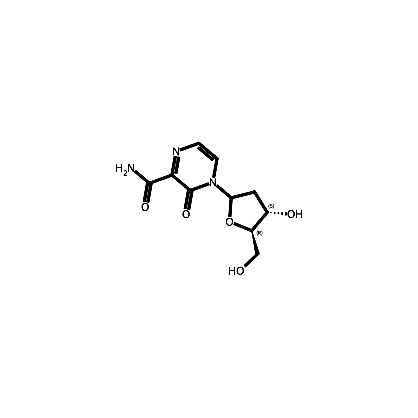 NC(=O)c1nccn(C2C[C@H](O)[C@@H](CO)O2)c1=O